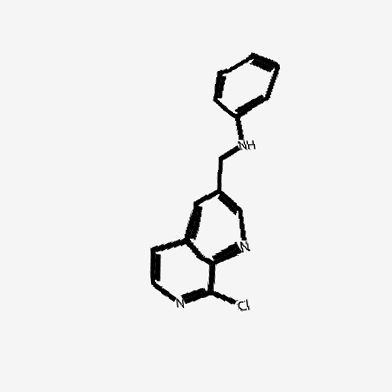 Clc1nccc2cc(CNc3ccccc3)cnc12